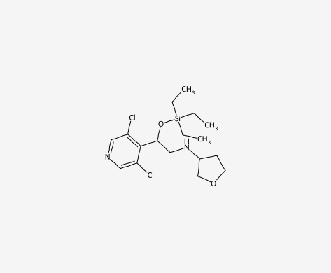 CC[Si](CC)(CC)OC(CNC1CCOC1)c1c(Cl)cncc1Cl